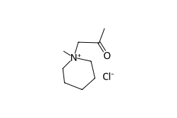 CC(=O)C[N+]1(C)CCCCC1.[Cl-]